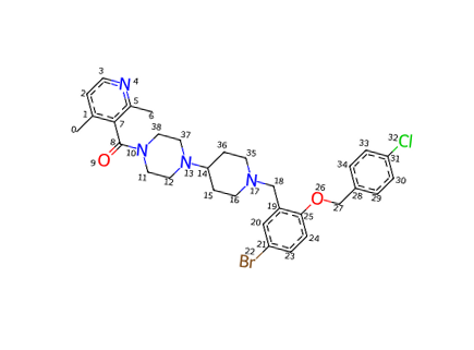 Cc1ccnc(C)c1C(=O)N1CCN(C2CCN(Cc3cc(Br)ccc3OCc3ccc(Cl)cc3)CC2)CC1